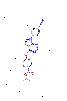 CC(C)OC(=O)N1CCC(Oc2ncnc3c2CCN3c2ccc(C#N)cc2)CC1